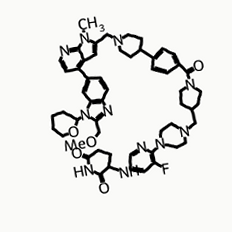 COCc1nc2ccc(-c3ccnc4c3cc(CN3CCC(c5ccc(C(=O)N6CCC(CN7CCN(c8ncc(NC9CCC(=O)NC9=O)cc8F)CC7)CC6)cc5)CC3)n4C)cc2n1C1CCCCO1